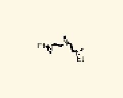 CCN(C)CCN(C)CCN(C)CC